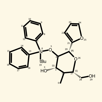 CC1[C@H](O)C(O[Si](c2ccccc2)(c2ccccc2)C(C)(C)C)[C@H](c2ccco2)O[C@@H]1CO